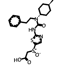 C[C@H]1CC[C@H](N(CCc2ccccc2)C(=O)Nc2ncc([S+]([O-])CC(=O)O)s2)CC1